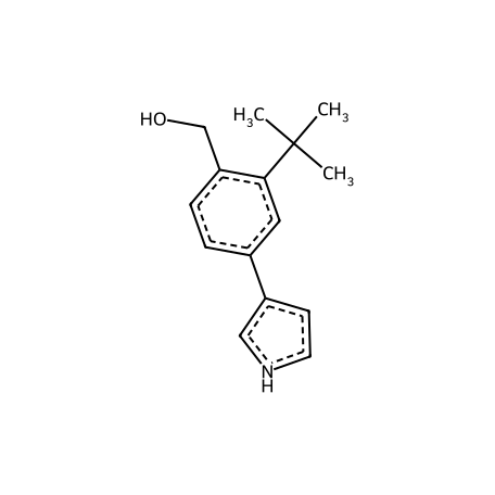 CC(C)(C)c1cc(-c2cc[nH]c2)ccc1CO